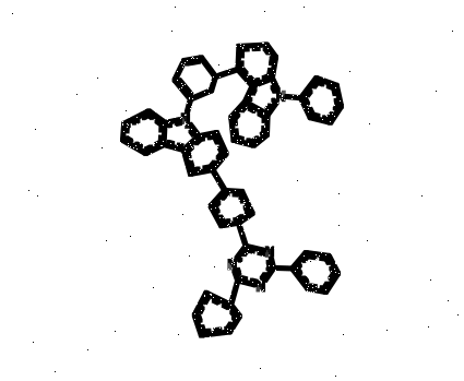 C1=CC(c2cccc3c2c2ccccc2n3-c2ccccc2)CC(n2c3ccccc3c3cc(-c4ccc(-c5nc(-c6ccccc6)nc(-c6ccccc6)n5)cc4)ccc32)=C1